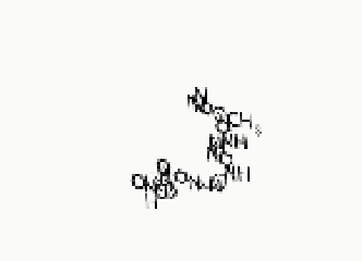 Cc1cc(Nc2ncnc3cc(NC4CCN(CC5CN(c6ccc7c(c6)C(=O)N(C6CCC(=O)NC6=O)C7=O)C5)CC4)ccc23)ccc1Oc1ccn2ncnc2c1